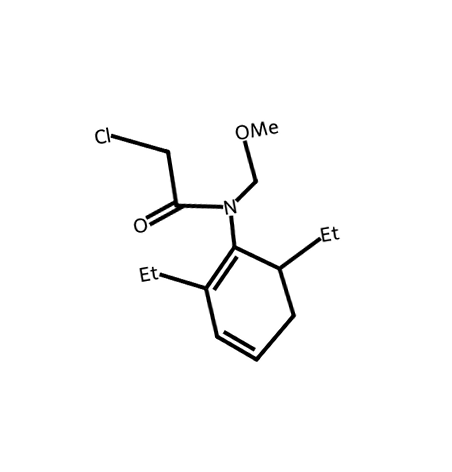 CCC1=C(N(COC)C(=O)CCl)C(CC)CC=C1